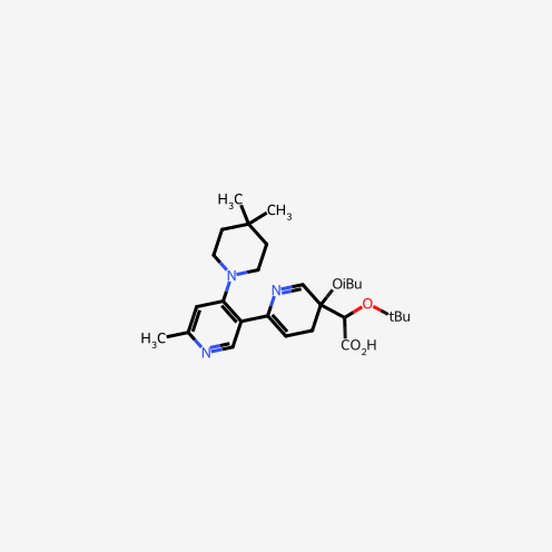 Cc1cc(N2CCC(C)(C)CC2)c(C2=CCC(OCC(C)C)(C(OC(C)(C)C)C(=O)O)C=N2)cn1